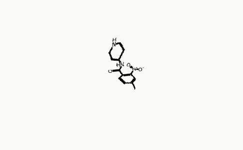 Cc1ccc(C(=O)NC2CCNCC2)c([N+](=O)[O-])c1